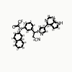 N#CCC(c1cccc(N(C(=O)C(F)(F)F)c2ccc3ccccc3c2)c1)n1cc(-c2ncnc3[nH]ccc23)cn1